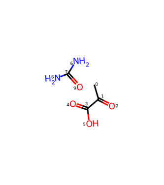 CC(=O)C(=O)O.NC(N)=O